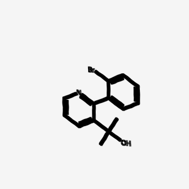 CC(C)(O)c1cccnc1-c1ccccc1Br